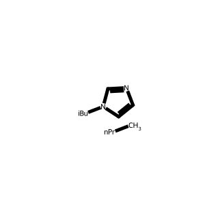 CCC(C)n1ccnc1.CCCC